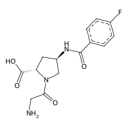 NCC(=O)N1C[C@H](NC(=O)c2ccc(F)cc2)C[C@H]1C(=O)O